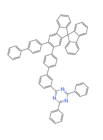 c1ccc(-c2ccc(-c3cc4c(cc3-c3ccc(-c5cccc(-c6nc(-c7ccccc7)nc(-c7ccccc7)n6)c5)cc3)C3(c5ccccc5-c5ccccc53)c3ccccc3-4)cc2)cc1